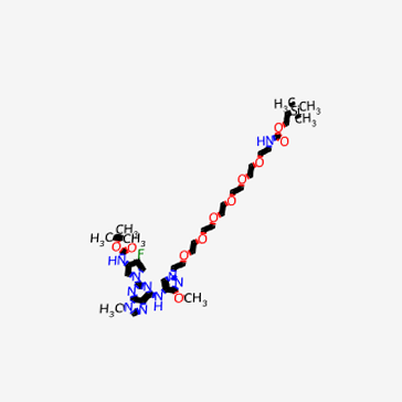 COc1nn(CCOCCOCCOCCOCCOCCOCCNC(=O)OCC[Si](C)(C)C)cc1Nc1nc(N2CC(NC(=O)OC(C)(C)C)[C@H](F)C2)nc2c1ncn2C